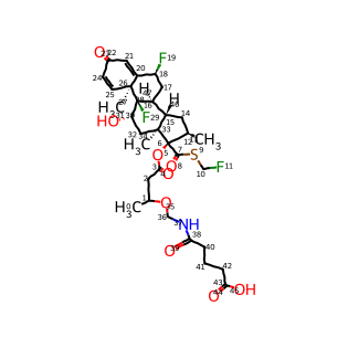 CC(CC(=O)O[C@]1(C(=O)SCF)[C@H](C)C[C@H]2[C@@H]3C[C@H](F)C4=CC(=O)C=C[C@]4(C)[C@@]3(F)[C@@H](O)C[C@@]21C)OCNC(=O)CCCC(=O)O